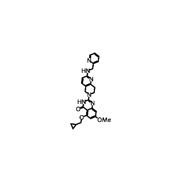 COc1cc(OCC2CC2)c2c(=O)[nH]c(N3CCc4nc(NCc5ccccn5)ccc4C3)nc2c1